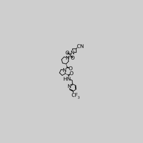 N#CC1CN(S(=O)(=O)N2CCC[C@H](C(=O)N3CCC[C@@H]3C(=O)NCc3ccc(C(F)(F)F)cn3)C2)C1